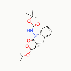 CC(C)OC(=O)C[C@@H]1Cc2ccccc2N(NC(=O)OC(C)(C)C)C1=O